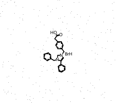 Br.O=C(O)Cc1ccc(CN2C=C(c3ccccc3)N(Cc3ccccc3)C2)cc1